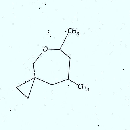 CC1CC(C)OCC2(CC2)C1